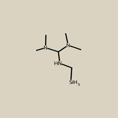 CN(C)C(NC[SiH3])N(C)C